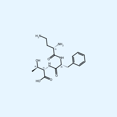 C[C@@H](O)[C@H](NC(=O)[C@@H](Cc1ccccc1)NC(=O)[C@@H](N)CCN)C(=O)O